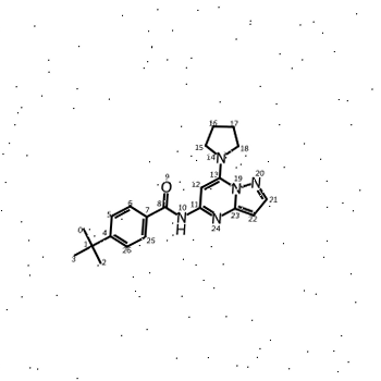 CC(C)(C)c1ccc(C(=O)Nc2cc(N3CCCC3)n3nccc3n2)cc1